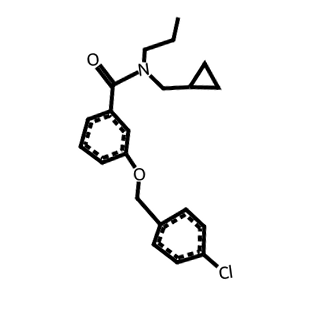 CCCN(CC1CC1)C(=O)c1cccc(OCc2ccc(Cl)cc2)c1